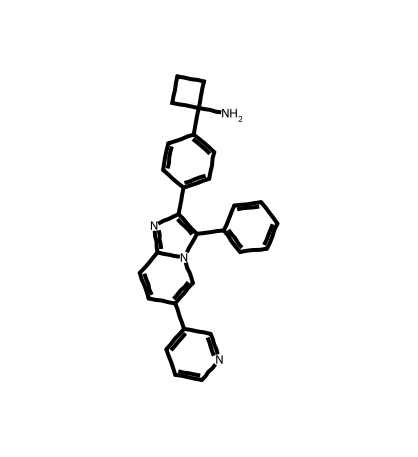 NC1(c2ccc(-c3nc4ccc(-c5cccnc5)cn4c3-c3ccccc3)cc2)CCC1